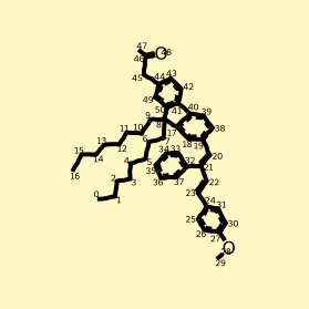 CCCCCCCCC1(CCCCCCCC)c2cc(C=C(C=Cc3ccc(OC)cc3)c3ccccc3)ccc2-c2ccc(CC(C)=O)cc21